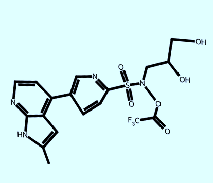 Cc1cc2c(-c3ccc(S(=O)(=O)N(CC(O)CO)OC(=O)C(F)(F)F)nc3)ccnc2[nH]1